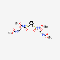 CC(C)(C)OC(=O)NCCCC[C@H](NC(=O)OC(C)(C)C)C(=O)SCc1ccccc1CSC(=O)[C@H](CCCCNC(=O)OC(C)(C)C)NC(=O)OC(C)(C)C